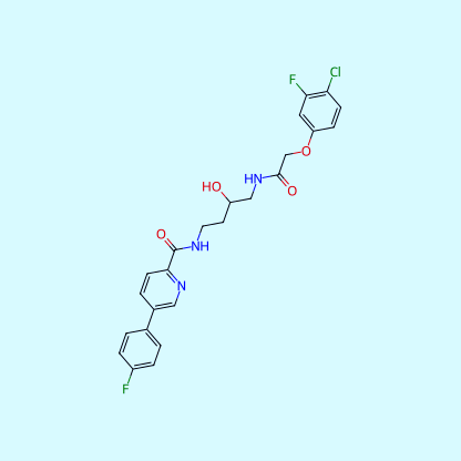 O=C(COc1ccc(Cl)c(F)c1)NCC(O)CCNC(=O)c1ccc(-c2ccc(F)cc2)cn1